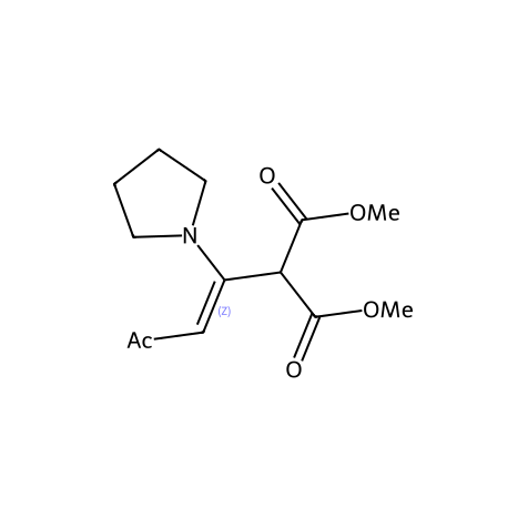 COC(=O)C(C(=O)OC)/C(=C/C(C)=O)N1CCCC1